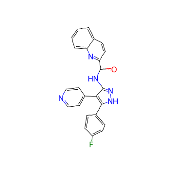 O=C(Nc1n[nH]c(-c2ccc(F)cc2)c1-c1ccncc1)c1ccc2ccccc2n1